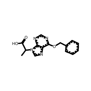 CC(C(=O)O)n1cnc2c(OCc3ccccc3)ncnc21